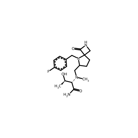 C[C@@H](O)[C@@H](C(N)=O)N(C)CC1CCC2(CNC2=O)N1Cc1ccc(F)cc1